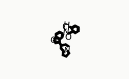 O=C(Nc1ccc2occ(C3CCN4CCCC4C3)c2c1)c1ccccc1Cl